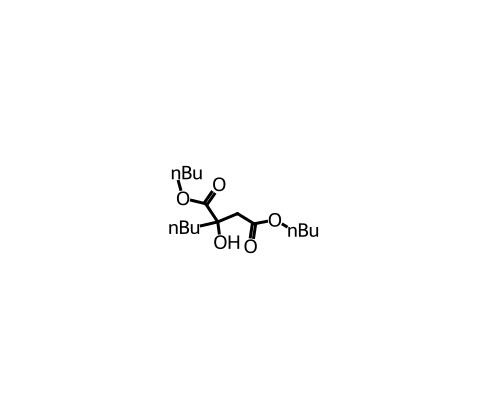 CCCCOC(=O)CC(O)(CCCC)C(=O)OCCCC